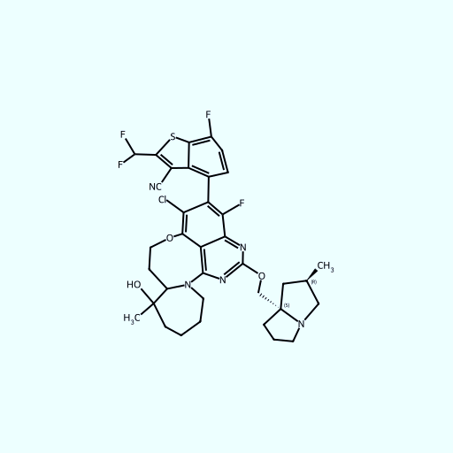 C[C@H]1CN2CCC[C@@]2(COc2nc3c4c(c(Cl)c(-c5ccc(F)c6sc(C(F)F)c(C#N)c56)c(F)c4n2)OCCC2N3CCCCC2(C)O)C1